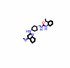 CCc1ccccc1NC(=O)NC[C@H]1CC[C@@H](Nc2cc(N(C)C)c3ccccc3n2)CC1